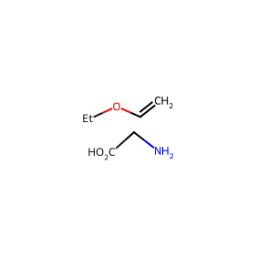 C=COCC.NCC(=O)O